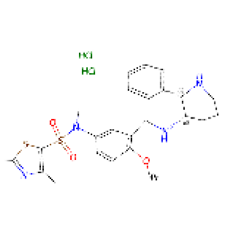 Cc1nc(C)c(S(=O)(=O)N(C)c2ccc(OC(C)C)c(CN[C@H]3CCCN[C@H]3c3ccccc3)c2)s1.Cl.Cl